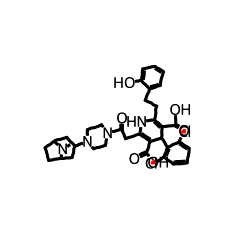 CN1C2CCC1CC(N1CCN(C(=O)CC3=C(C(=O)O)C(c4c(Cl)cccc4Cl)C(C(=O)O)=C(CCc4ccccc4O)N3)CC1)C2